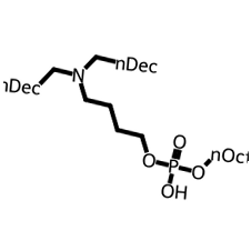 CCCCCCCCCCCN(CCCCCCCCCCC)CCCCOP(=O)(O)OCCCCCCCC